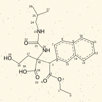 CCOC(=O)C(c1ccc2ccccc2c1)C(CCO)(NC(=O)NCC(C)C)C(=O)O